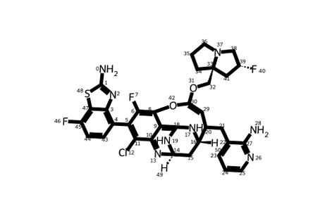 Nc1nc2c(-c3c(F)c4c5c(c3Cl)=N[C@@H]3C[C@H](NC=5N3)C(Cc3cccnc3N)C=C(OC[C@@]35CCCN3C[C@H](F)C5)O4)ccc(F)c2s1